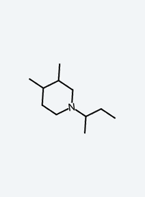 CCC(C)N1CCC(C)C(C)C1